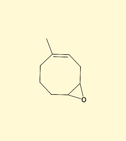 C/C1=C/CC2OC2CCC1